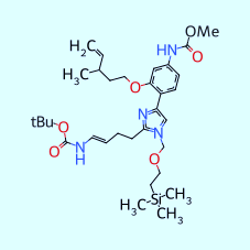 C=CC(C)CCOc1cc(NC(=O)OC)ccc1-c1cn(COCC[Si](C)(C)C)c(CCC=CNC(=O)OC(C)(C)C)n1